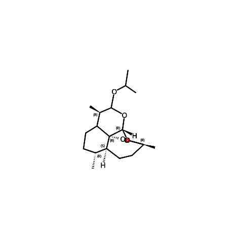 CC(C)OC1O[C@@H]2O[C@@]3(C)CC[C@H]4[C@H](C)CCC([C@H]1C)[C@@]24OO3